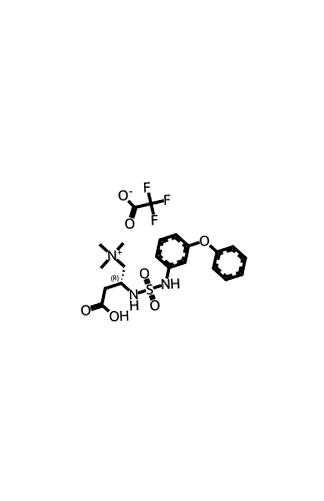 C[N+](C)(C)C[C@@H](CC(=O)O)NS(=O)(=O)Nc1cccc(Oc2ccccc2)c1.O=C([O-])C(F)(F)F